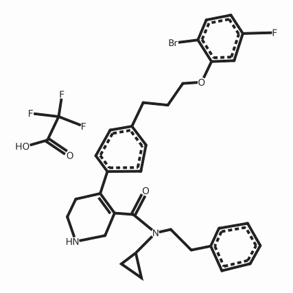 O=C(C1=C(c2ccc(CCCOc3cc(F)ccc3Br)cc2)CCNC1)N(CCc1ccccc1)C1CC1.O=C(O)C(F)(F)F